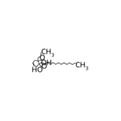 CCCCCCCCCCCCCCC1(C(=O)O)CC=CCC1(CCCC)C(=O)O